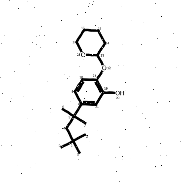 CC(C)(C)CC(C)(C)c1ccc(OC2CCCCO2)c(O)c1